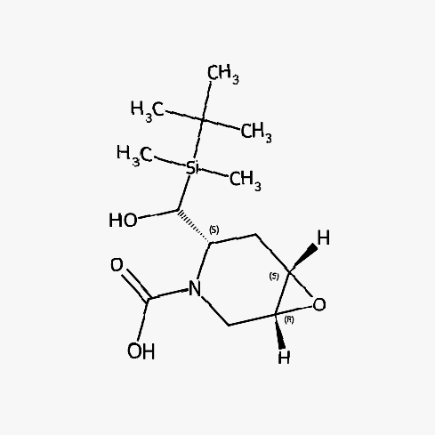 CC(C)(C)[Si](C)(C)C(O)[C@@H]1C[C@@H]2O[C@@H]2CN1C(=O)O